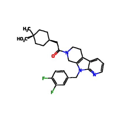 C[C@]1(C(=O)O)CC[C@@H](CC(=O)N2CCc3c(n(Cc4ccc(F)c(F)c4)c4ncccc34)C2)CC1